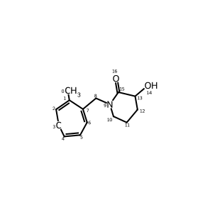 CC1=CCC=CC=C1CN1CCCC(O)C1=O